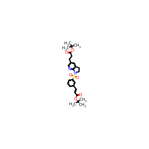 CC(C)(C)OC(=O)/C=C/c1cccc(S(=O)(=O)N2CCc3cc(CCC(=O)OC(C)(C)C)cnc32)c1